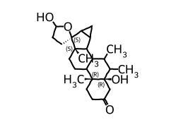 CC1C2C3C4CC4[C@@]4(CCC(O)O4)[C@@]3(C)CCC2[C@@]2(C)CCC(=O)C[C@@]2(O)C1C